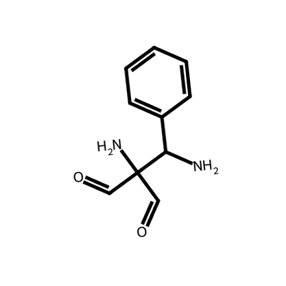 NC(c1ccccc1)C(N)(C=O)C=O